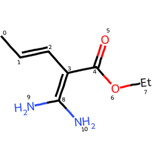 CC=CC(C(=O)OCC)=C(N)N